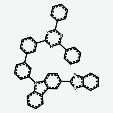 c1ccc(-c2nc(-c3ccccc3)nc(-c3cccc(-c4cccc(-n5c6ccccc6c6cc(-c7nc8ccccc8s7)ccc65)c4)c3)n2)cc1